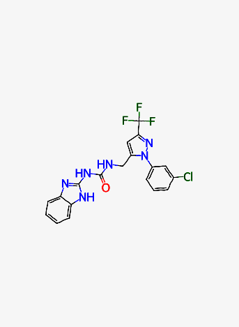 O=C(NCc1cc(C(F)(F)F)nn1-c1cccc(Cl)c1)Nc1nc2ccccc2[nH]1